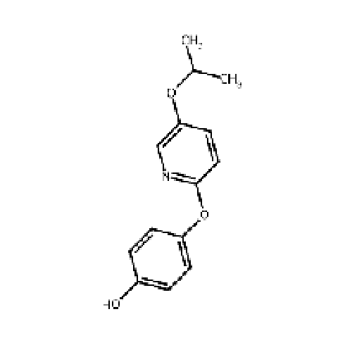 CC(C)Oc1ccc(Oc2ccc(O)cc2)nc1